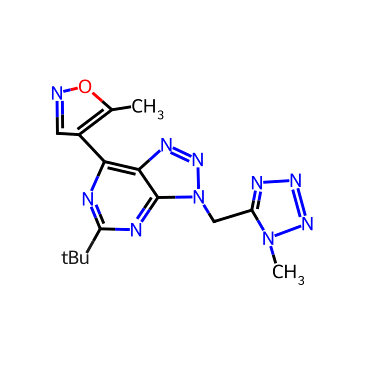 Cc1oncc1-c1nc(C(C)(C)C)nc2c1nnn2Cc1nnnn1C